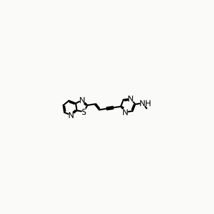 CNc1cnc(C#CC=Cc2nc3cccnc3s2)cn1